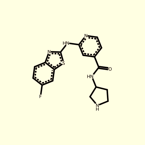 O=C(NC1CCNC1)c1ccnc(Nc2nc3ccc(F)cc3s2)c1